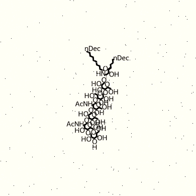 CCCCCCCCCCCCC/C=C/[C@@H](O)[C@H](CO[C@@H]1OC(CO)[C@@H](O[C@@H]2OC(CO)[C@H](O[C@@H]3OC(CO)[C@H](O)[C@H](O[C@@H]4OC(CO)[C@H](O)[C@H](O[C@@H]5OC(CO)[C@H](O[C@@H]6OC(CO)[C@H](O)[C@H](O)C6O)[C@H](O)C5NC(C)=O)C4O)C3NC(C)=O)[C@H](O)C2O)[C@H](O)C1O)NC(=O)CCCCCCCCCCCCCCCCCCC